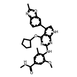 CNC(=O)c1cc(C)c(Nc2nc(OC3CCCC3)c3c(-c4ccc5nc(C)oc5c4)c[nH]c3n2)c(OC)c1